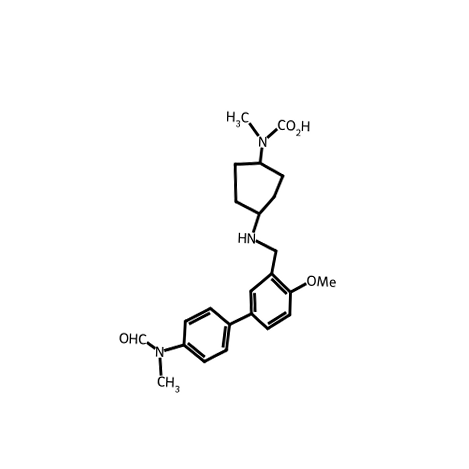 COc1ccc(-c2ccc(N(C)C=O)cc2)cc1CNC1CCC(N(C)C(=O)O)CC1